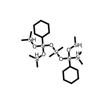 C[SiH](C)O[Si](O[SiH](C)C)(O[Si](C)(C)O[Si](O[SiH](C)C)(C1CCCCC1)[SiH](C)C)C1CCCCC1